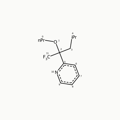 CCCOC(CC(C)C)(c1ccccn1)C(F)(F)F